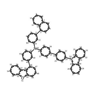 c1cc(-c2cccc3ccccc23)cc(N(c2ccc(-c3ccc(-n4c5ccccc5c5ccccc54)cc3)cc2)c2cccc(-c3cccc4oc5ccccc5c34)c2)c1